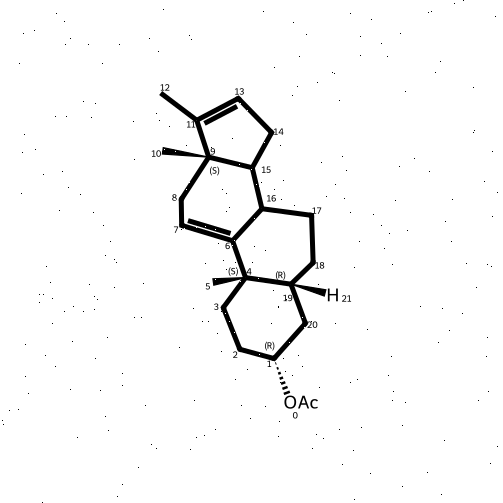 CC(=O)O[C@@H]1CC[C@]2(C)C3=CC[C@]4(C)C(C)=CCC4C3CC[C@@H]2C1